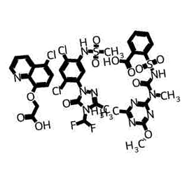 COc1nc(C)nc(N(C)C(=O)NS(=O)(=O)c2ccccc2C(=O)O)n1.Cc1nn(-c2cc(NS(C)(=O)=O)c(Cl)cc2Cl)c(=O)n1C(F)F.O=C(O)COc1ccc(Cl)c2cccnc12